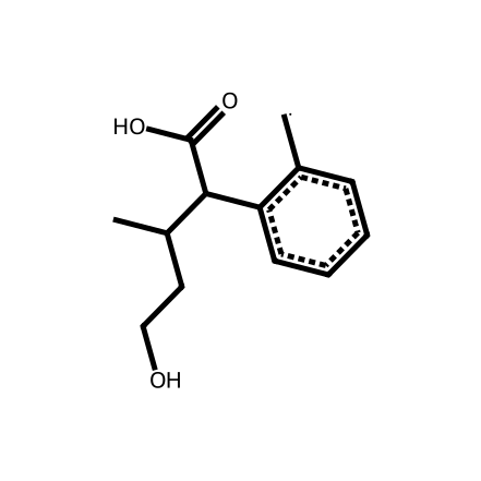 [CH2]c1ccccc1C(C(=O)O)C(C)CCO